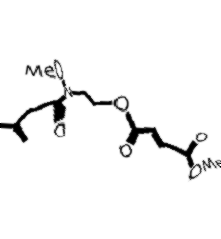 C=C(C)CC(=O)N(CCOC(=O)/C=C/C(=O)OC)OC